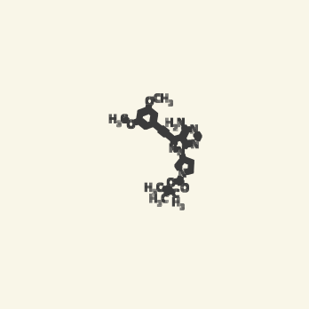 COc1cc(C#Cc2nn(C3CCN(C(=O)OC(C)(C)C)C3)c3ncnc(N)c23)cc(OC)c1